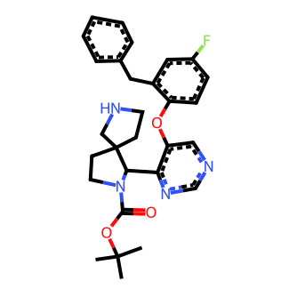 CC(C)(C)OC(=O)N1CCC2(CCNC2)C1c1ncncc1Oc1ccc(F)cc1Cc1ccccc1